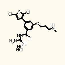 CNCCCOc1cc(C(=O)NC(=N)N)cc(-c2cc(Cl)sc2Cl)c1.Cl.Cl